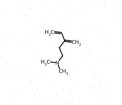 C=CC(=C)CCN(C)C